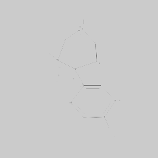 C[C@]1(O)CNCC[C@@]1(O)c1ccc(Cl)cc1